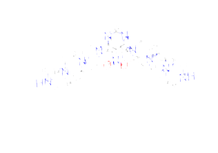 O=[N+]([O-])c1c(N2CC[N+]3(CC2)CC[N+]2(CCNCC2)CC3)ncnc1N1CC[N+]2(CC1)CC[N+]1(CCNCC1)CC2